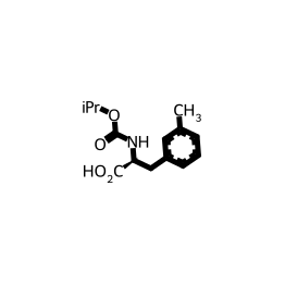 Cc1cccc(C[C@H](NC(=O)OC(C)C)C(=O)O)c1